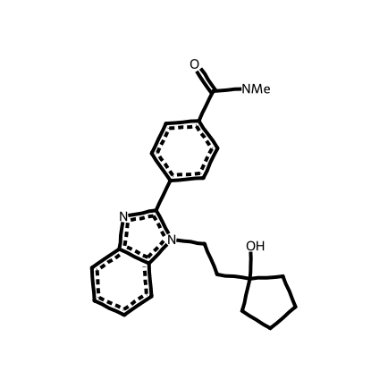 CNC(=O)c1ccc(-c2nc3ccccc3n2CCC2(O)CCCC2)cc1